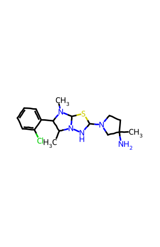 CC1C(c2ccccc2Cl)N(C)C2SC(N3CCC(C)(N)C3)NN12